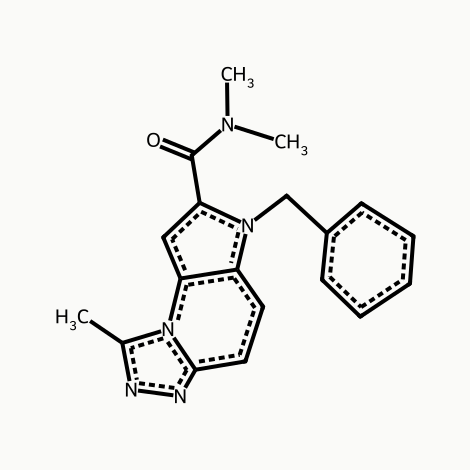 Cc1nnc2ccc3c(cc(C(=O)N(C)C)n3Cc3ccccc3)n12